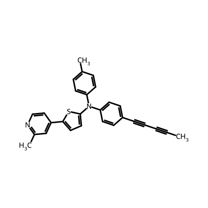 CC#CC#Cc1ccc(N(c2ccc(C)cc2)c2ccc(-c3ccnc(C)c3)s2)cc1